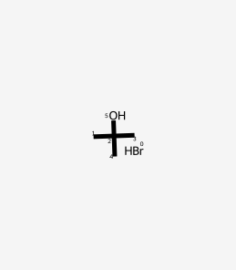 Br.CC(C)(C)O